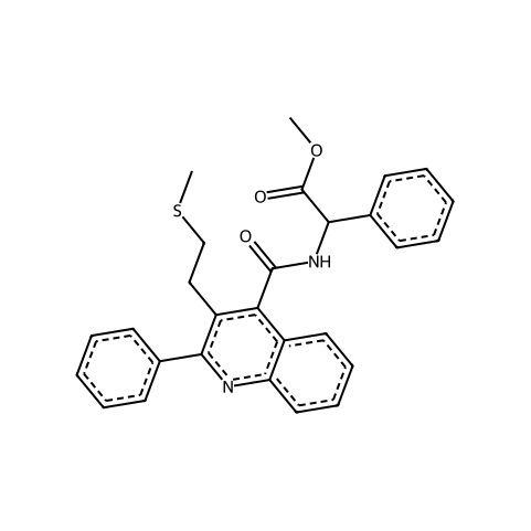 COC(=O)C(NC(=O)c1c(CCSC)c(-c2ccccc2)nc2ccccc12)c1ccccc1